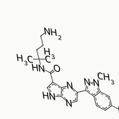 Cn1nc(-c2cnc3[nH]cc(C(=O)NC(C)(C)CCCN)c3n2)c2ccc(F)cc21